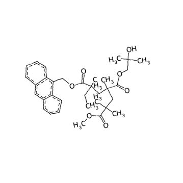 CCC(C)(CC(C)(CC(C)(C)C(=O)OC)C(=O)OCC(C)(C)O)C(=O)OCc1c2ccccc2cc2ccccc12